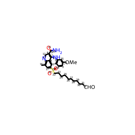 COc1cccc(Nc2c(C(N)=O)cnc3c(C)cc(S(=O)(=O)CCCCCCCCCCC=O)cc23)c1